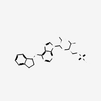 C[C@H](O)[C@@H](COS(N)(=O)=O)O[C@H](CO)n1cnc2c(N[C@H]3CCc4ccccc43)ncnc21